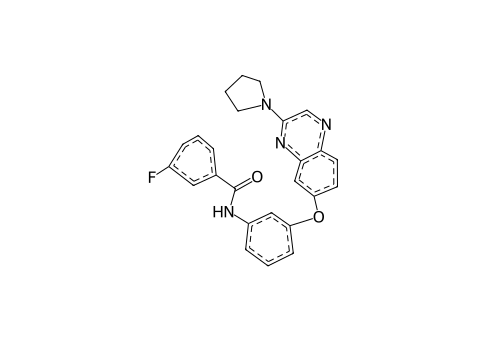 O=C(Nc1cccc(Oc2ccc3ncc(N4CCCC4)nc3c2)c1)c1cccc(F)c1